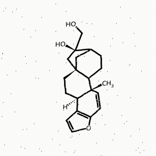 C[C@@]12C=Cc3occc3[C@H]1CC[C@@]13CC(CCC12)[C@@](O)(CO)C3